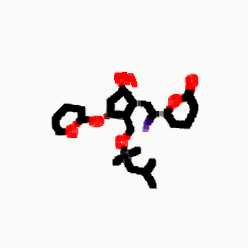 CC(C)C[Si](C)(C)OC[C@@H]1[C@@H](CC(I)[C@H]2CCCC(=O)O2)[C@H](O)C[C@H]1OC1CCCCO1